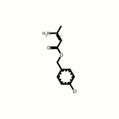 C/C(N)=C/C(=O)OCc1ccc(Cl)cc1